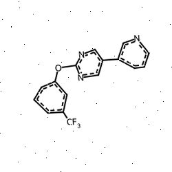 FC(F)(F)c1cccc(Oc2ncc(-c3cccnc3)cn2)c1